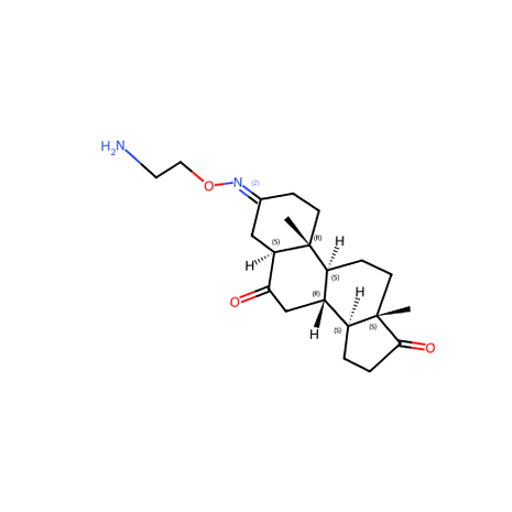 C[C@]12CC/C(=N/OCCN)C[C@@H]1C(=O)C[C@@H]1[C@@H]2CC[C@]2(C)C(=O)CC[C@@H]12